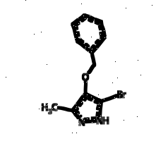 Cc1n[nH]c(Br)c1OCc1ccccc1